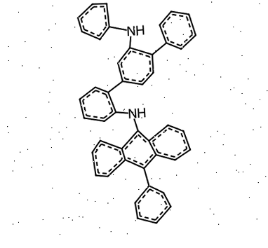 c1ccc(Nc2cc(-c3ccccc3Nc3c4ccccc4c(-c4ccccc4)c4ccccc34)ccc2-c2ccccc2)cc1